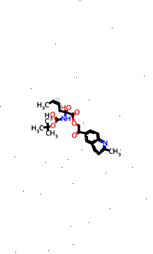 C/C=C\C[C@](O)(NC(=O)OC(C)(C)C)C(=O)OCC(=O)c1ccc2nc(C)ccc2c1